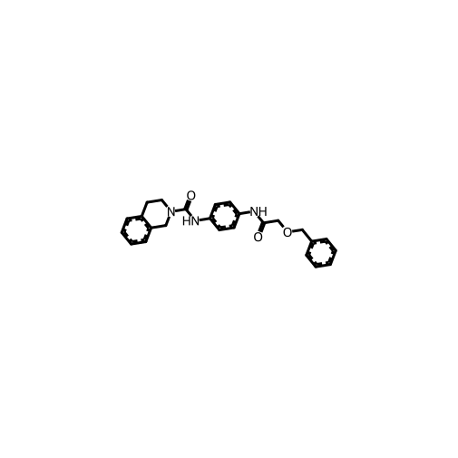 O=C(COCc1ccccc1)Nc1ccc(NC(=O)N2CCc3ccccc3C2)cc1